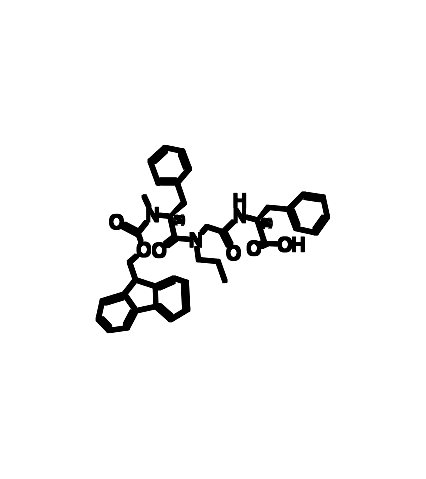 CCCN(CC(=O)N[C@@H](Cc1ccccc1)C(=O)O)C(=O)[C@H](Cc1ccccc1)N(C)C(=O)OCC1c2ccccc2-c2ccccc21